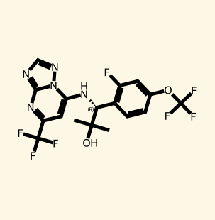 CC(C)(O)[C@H](Nc1cc(C(F)(F)F)nc2ncnn12)c1ccc(OC(F)(F)F)cc1F